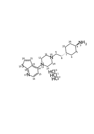 Cl.Cl.Cl.N[C@H]1CC[C@H](CCN2CCN(c3ccnc4sccc34)CC2)CC1